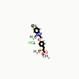 COC(=O)C(Cc1ccc(OCc2nc3ccc(SC)cc3n2C)cc1)SC.Cl